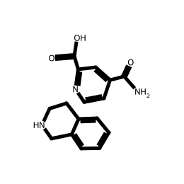 NC(=O)c1ccnc(C(=O)O)c1.c1ccc2c(c1)CCNC2